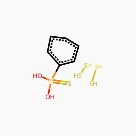 OP(O)(=S)c1ccccc1.SS.SS